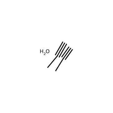 C#CC.C#CC.O